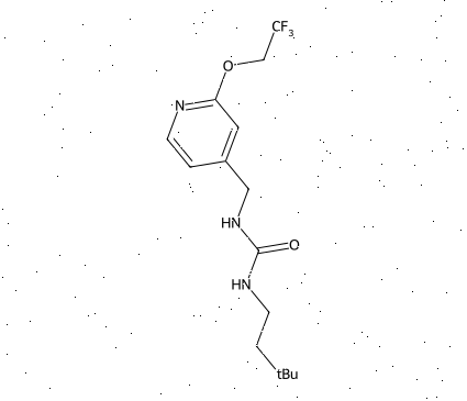 CC(C)(C)CCNC(=O)NCc1ccnc(OCC(F)(F)F)c1